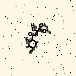 C/C(=N\C(=O)c1ccc(F)cc1F)N(C)C